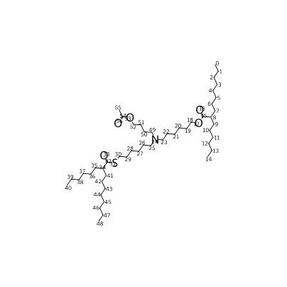 CCCCCCCCC(CCCCCC)C(=O)OCCCCCCN(CCCCCCSC(=O)C(CCCCCC)CCCCCCCC)CCCCOC(C)=O